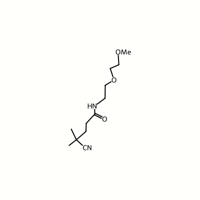 COCCOCCNC(=O)CCC(C)(C)C#N